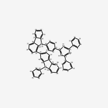 c1ccc(-c2nc(-c3ccccc3)nc(-c3ccc(-n4c5ccccc5c5cccc(-c6ccc7c8ncccc8n(-c8ccccc8)c7c6)c54)cc3)n2)cc1